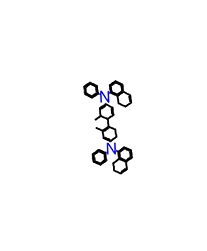 CC1=C(C2C=CC(N(c3ccccc3)c3cccc4c3CCC=C4)=CC2C)CCC(N(c2ccccc2)c2cccc3c2CCC=C3)=C1